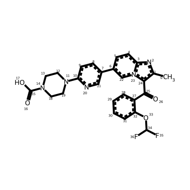 Cc1nc2ccc(-c3ccc(N4CCN(C(=O)O)CC4)nc3)cn2c1C(=O)c1ccccc1OC(F)F